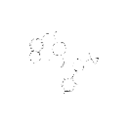 C[C@H]1CN([C@@H](Cc2ccc3c(c2)CCC3)C(=O)O)CCN1C(=O)[C@@H]1CN(C2(C)CC2)C[C@H]1c1ccc(Cl)cc1F